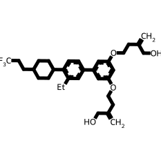 C=C(CO)CCOc1cc(OCCC(=C)CO)cc(-c2ccc(C3CCC(CCC(F)(F)F)CC3)c(CC)c2)c1